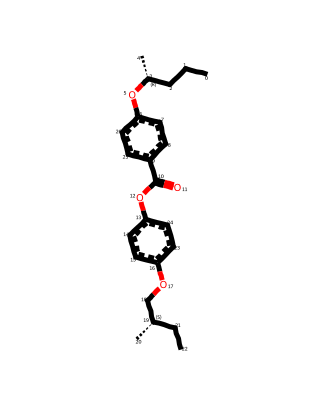 CCC[C@@H](C)Oc1ccc(C(=O)Oc2ccc(OC[C@@H](C)CC)cc2)cc1